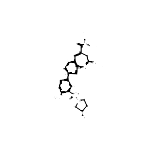 CCCN(CCC)C(=O)C1=Cc2ccc(-c3ccc(OC)c(S(=O)(=O)N4CC[C@@H](O)C4)c3)cc2N=C(N)C1